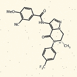 COc1ccc(C(=O)Nc2cnn3c2C(=O)N(c2ccc(C(F)(F)F)cc2)[C@@H](C)C3)cc1C#N